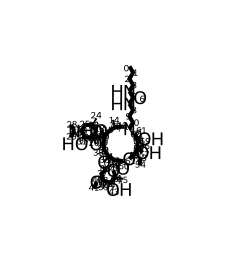 CCCCNC(=O)NCCCN1C[C@H](C)C[C@@](C)(O)[C@H](O[C@@H]2O[C@H](C)C[C@H](N(C)C)[C@H]2O)[C@@H](C)[C@H](O[C@H]2C[C@@](C)(OC)[C@@H](O)[C@H](C)O2)[C@@H](C)C(=O)O[C@H](CC)[C@@](C)(O)[C@H](O)[C@H]1C